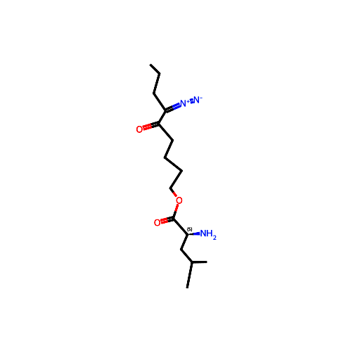 CCCC(=[N+]=[N-])C(=O)CCCCOC(=O)[C@@H](N)CC(C)C